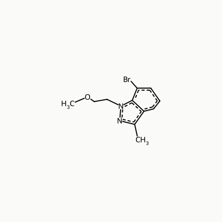 COCCn1nc(C)c2cccc(Br)c21